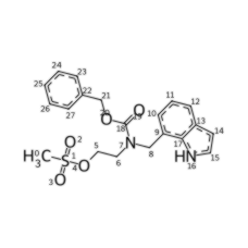 CS(=O)(=O)OCCN(Cc1cccc2cc[nH]c12)C(=O)OCc1ccccc1